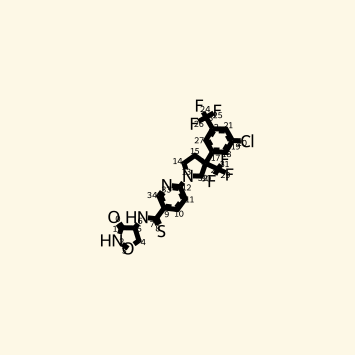 O=C1NOCC1NC(=S)c1ccc(N2CCC(c3cc(Cl)cc(C(F)(F)F)c3)(C(F)(F)F)C2)nc1